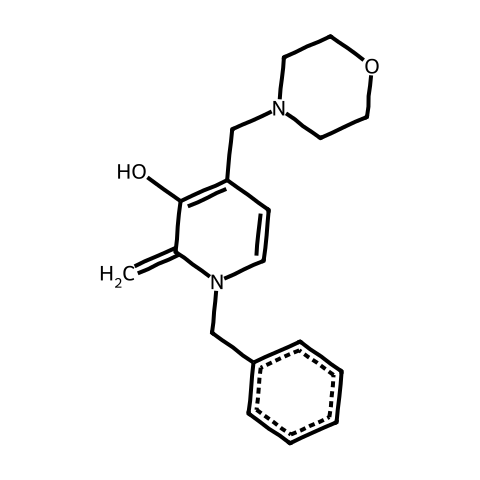 C=C1C(O)=C(CN2CCOCC2)C=CN1Cc1ccccc1